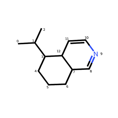 CC(C)C1CCCC2C=NC=CC21